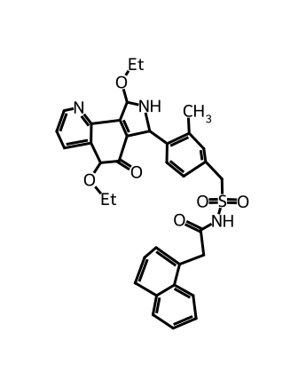 CCOC1NC(c2ccc(CS(=O)(=O)NC(=O)Cc3cccc4ccccc34)cc2C)C2=C1c1ncccc1C(OCC)C2=O